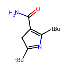 CC(C)(C)C1=NC(C(C)(C)C)=C(C(N)=O)C1